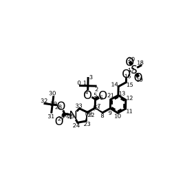 CC(C)(C)OC(=O)[C@@H](Cc1cccc(CCOS(C)(=O)=O)c1)[C@H]1CCN(C(=O)OC(C)(C)C)C1